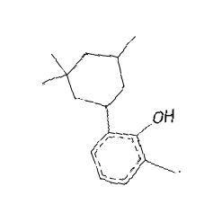 [CH2]c1cccc(C2CC(C)CC(C)(C)C2)c1O